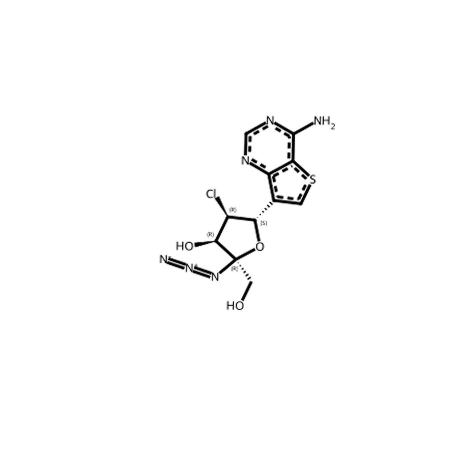 [N-]=[N+]=N[C@]1(CO)O[C@@H](c2csc3c(N)ncnc23)[C@H](Cl)[C@@H]1O